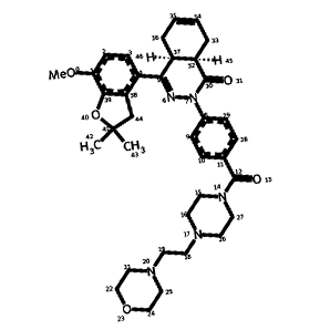 COc1ccc(C2=NN(c3ccc(C(=O)N4CCN(CCN5CCOCC5)CC4)cc3)C(=O)[C@@H]3CC=CC[C@H]23)c2c1OC(C)(C)C2